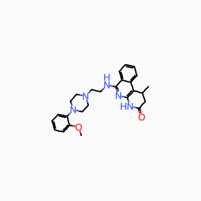 COc1ccccc1N1CCN(CCNc2nc3c(c4ccccc24)C(C)CC(=O)N3)CC1